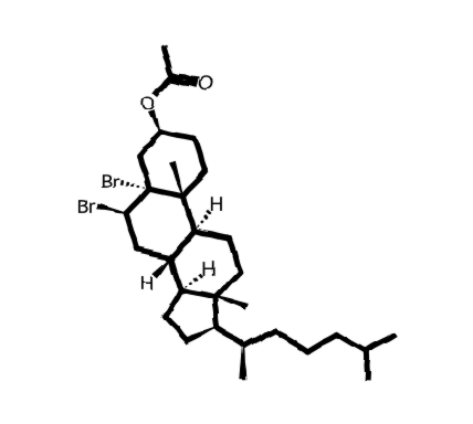 CC(=O)O[C@H]1CC[C@]2(C)[C@H]3CC[C@]4(C)[C@@H]([C@H](C)CCCC(C)C)CC[C@H]4[C@@H]3C[C@@H](Br)[C@@]2(Br)C1